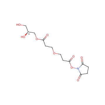 O=C(CCOCCC(=O)ON1C(=O)CCC1=O)OC[C@@H](O)CO